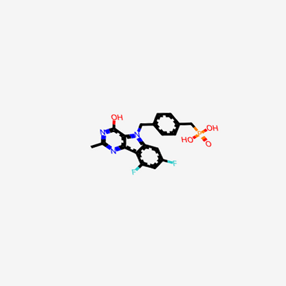 Cc1nc(O)c2c(n1)c1c(F)cc(F)cc1n2Cc1ccc(CP(=O)(O)O)cc1